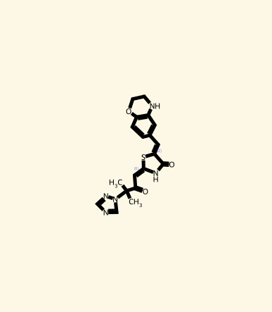 CC(C)(C(=O)/C=c1\[nH]c(=O)/c(=C/c2ccc3c(c2)NCCO3)s1)n1cncn1